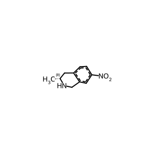 C[C@@H]1Cc2ccc([N+](=O)[O-])cc2CN1